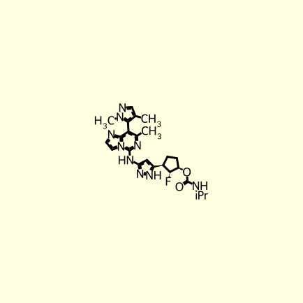 Cc1cnn(C)c1-c1c(C)nc(Nc2cc([C@H]3CC[C@@H](OC(=O)NC(C)C)[C@@H]3F)[nH]n2)n2ccnc12